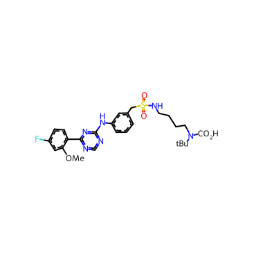 COc1cc(F)ccc1-c1ncnc(Nc2cccc(CS(=O)(=O)NCCCCN(C(=O)O)C(C)(C)C)c2)n1